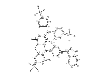 Cc1cc2c3c(c1)N(c1c(C)cc(C(C)(C)C)cc1C)c1ccc(-c4coc5ccccc45)cc1B3c1cc(C(C)(C)C)ccc1N2c1ccc(C(C)(C)C)cc1